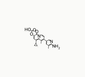 Cc1cc(-c2ccn3c(=O)c(OC(=O)O)cc(C4CC4)c3c2C)cnc1N